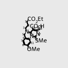 CCOC(=O)CCCN(Cc1ccc(OC)cc1)c1nc(SC)nc(Cl)c1C(=O)O